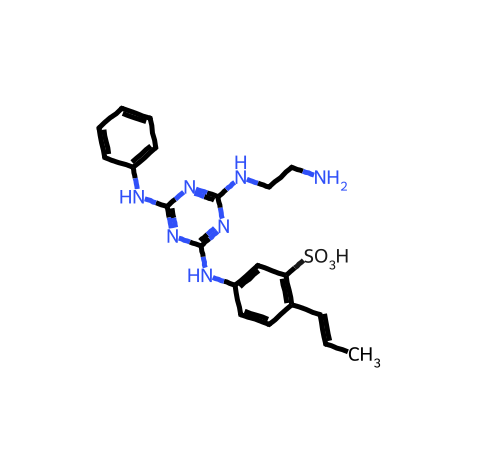 C/C=C/c1ccc(Nc2nc(NCCN)nc(Nc3ccccc3)n2)cc1S(=O)(=O)O